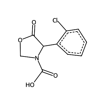 O=C1OCN(C(=O)O)C1c1ccccc1Cl